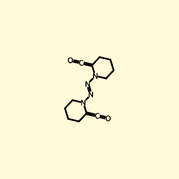 O=C=C1CCCCN1N=NN1CCCCC1=C=O